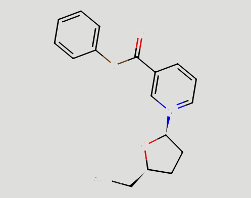 CC(=O)OC[C@@H]1CC[C@H]([n+]2cccc(C(=O)Sc3ccccc3)c2)O1